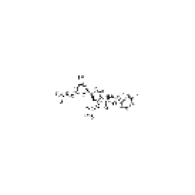 Cc1cccc(S(=O)(=O)NC(=O)c2ccc(-c3cc(F)cc(OCC(C)C)c3)nc2OC2CCC2)n1